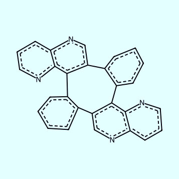 c1ccc2c(c1)-c1cnc3cccnc3c1-c1ccccc1-c1cnc3cccnc3c1-2